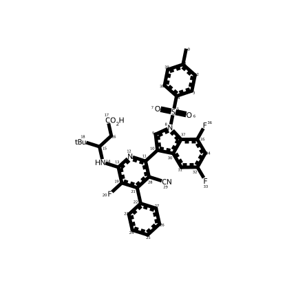 Cc1ccc(S(=O)(=O)n2cc(-c3nc(NC(CC(=O)O)C(C)(C)C)c(F)c(-c4ccccc4)c3C#N)c3cc(F)cc(F)c32)cc1